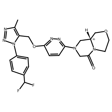 Cc1nnn(-c2ccc(C(F)F)cc2)c1COc1ccc(N2CC(=O)N3CCOC[C@H]3C2)nn1